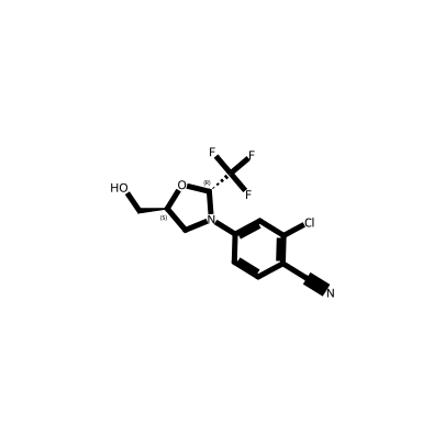 N#Cc1ccc(N2C[C@@H](CO)O[C@@H]2C(F)(F)F)cc1Cl